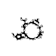 COC(=O)[C@@H]1C[C@@H]2CN1CC(=O)[C@H](C(C)(C)C)NC(=O)O[C@@H]1C[C@H]1CCCCCc1nc3ccc(OC)cc3nc1O2